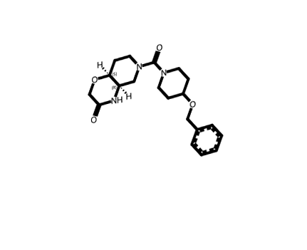 O=C1CO[C@H]2CCN(C(=O)N3CCC(OCc4ccccc4)CC3)C[C@H]2N1